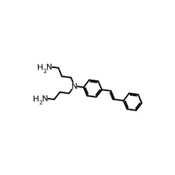 NCCCN(CCCN)c1ccc(C=Cc2ccccc2)cc1